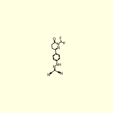 N#CC(C#N)=NNc1ccc(C2=NN(C(F)F)C(=O)CC2)cc1